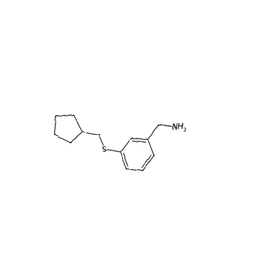 NCc1cccc(SCC2CCCC2)c1